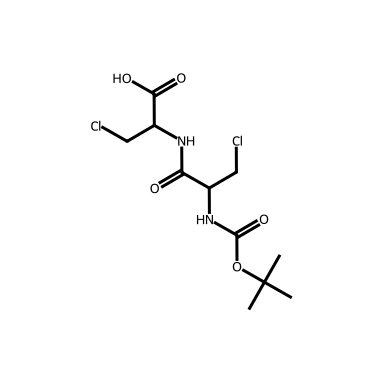 CC(C)(C)OC(=O)NC(CCl)C(=O)NC(CCl)C(=O)O